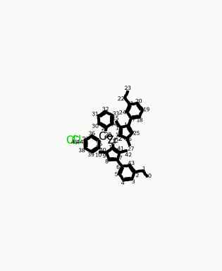 CCc1cccc(C2=CC(C)[C]([Zr+2]([C]3=C(C)C(c4cccc(CC)c4)=CC3C)=[Ge]([c]3ccccc3)[c]3ccccc3)=C2C)c1.[Cl-].[Cl-]